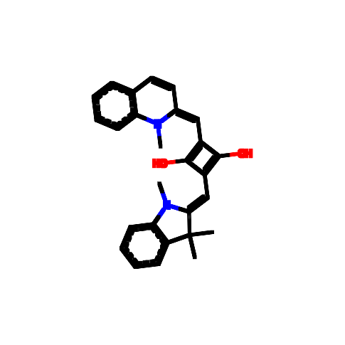 CN1C(=CC2=C(O)C(C=C3N(C)c4ccccc4C3(C)C)=C2O)C=Cc2ccccc21